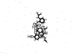 C=CCN1CC[C@]23c4c5ccc(O)c4O[C@H]2[C@H](NS(=O)(=O)Cc2ccccc2CC(C)C)CC[C@@]3(OC(C)=O)[C@H]1C5